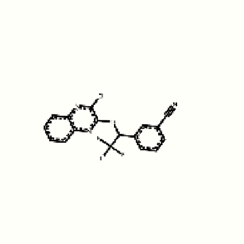 N#Cc1cccc(C(Oc2nc3ccccc3nc2Cl)C(F)(F)F)c1